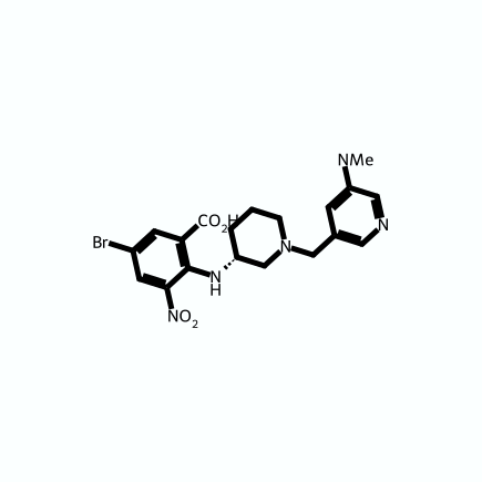 CNc1cncc(CN2CCC[C@@H](Nc3c(C(=O)O)cc(Br)cc3[N+](=O)[O-])C2)c1